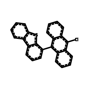 Clc1c2ccccc2c(-c2cccc3c2sc2ccccc23)c2ccccc12